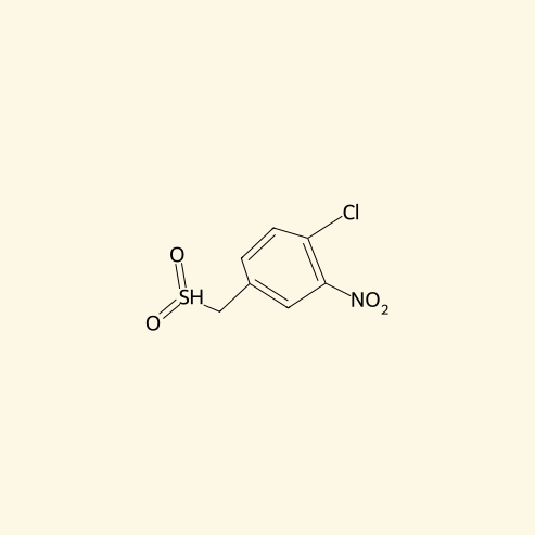 O=[N+]([O-])c1cc(C[SH](=O)=O)ccc1Cl